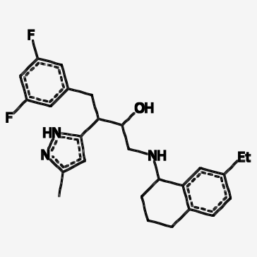 CCc1ccc2c(c1)C(NCC(O)C(Cc1cc(F)cc(F)c1)c1cc(C)n[nH]1)CCC2